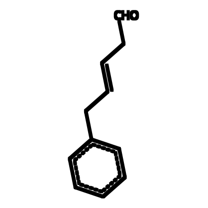 O=CC/C=C/Cc1ccccc1